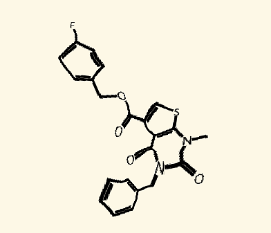 Cn1c(=O)n(Cc2ccccc2)c(=O)c2c(C(=O)OCc3ccc(F)cc3)csc21